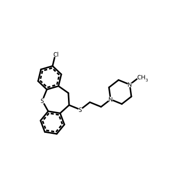 CN1CCN(CCSC2Cc3cc(Cl)ccc3Sc3ccccc32)CC1